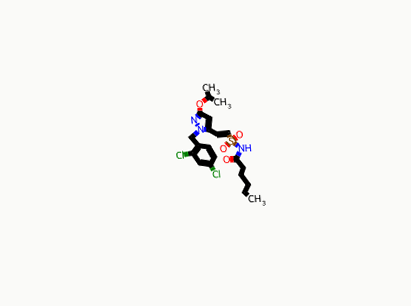 CCCCCC(=O)NS(=O)(=O)/C=C/c1cc(OC(C)C)nn1Cc1ccc(Cl)cc1Cl